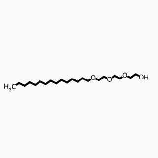 CCCCCCCCCCCCCCCOCCOCCOCCO